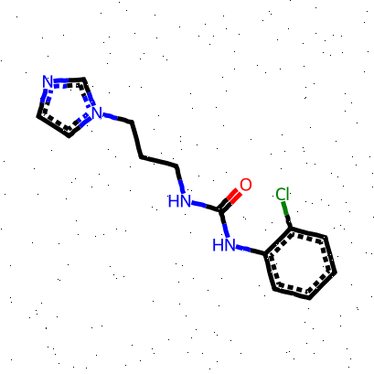 O=C(NCCCn1ccnc1)Nc1ccccc1Cl